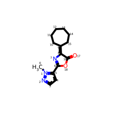 Cn1nccc1C1=NC(=C2CCCCCC2)C(=O)O1